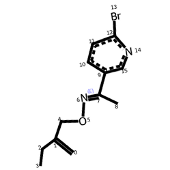 C=C(CC)CO/N=C(\C)c1ccc(Br)nc1